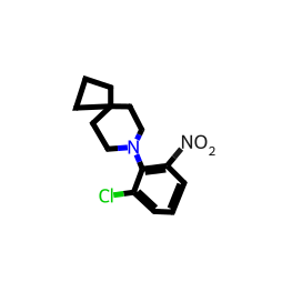 O=[N+]([O-])c1cccc(Cl)c1N1CCC2(CCC2)CC1